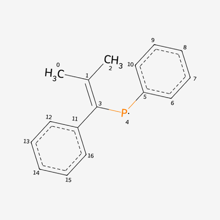 CC(C)=C([P]c1ccccc1)c1ccccc1